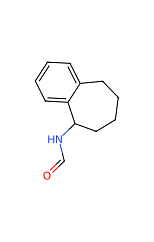 O=CNC1CCCCc2ccccc21